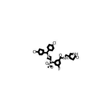 CS(=O)(=O)N(c1cc(F)cc(C(=O)NCc2ccc(=O)[nH]c2)c1)C1CN(C(c2ccc(Cl)cc2)c2ccc(Cl)cc2)C1